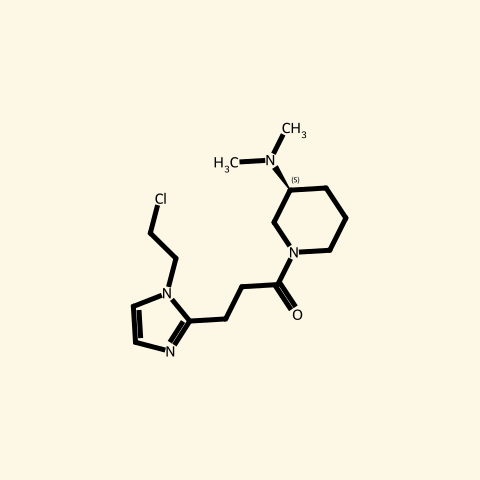 CN(C)[C@H]1CCCN(C(=O)CCc2nccn2CCCl)C1